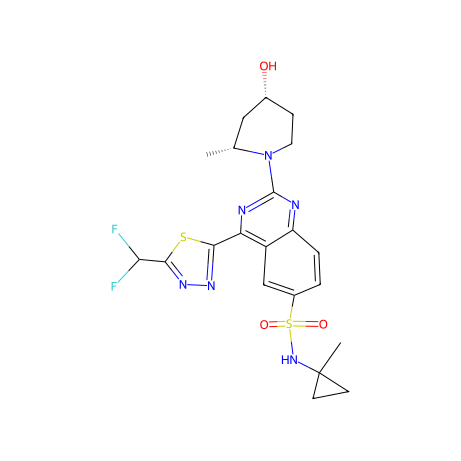 C[C@@H]1C[C@H](O)CCN1c1nc(-c2nnc(C(F)F)s2)c2cc(S(=O)(=O)NC3(C)CC3)ccc2n1